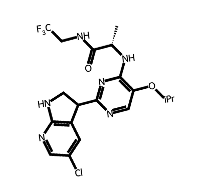 CC(C)Oc1cnc(C2CNc3ncc(Cl)cc32)nc1N[C@@H](C)C(=O)NCC(F)(F)F